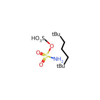 CC(C)(C)CCCC(C)(C)C.NS(=O)(=O)OS(=O)(=O)O